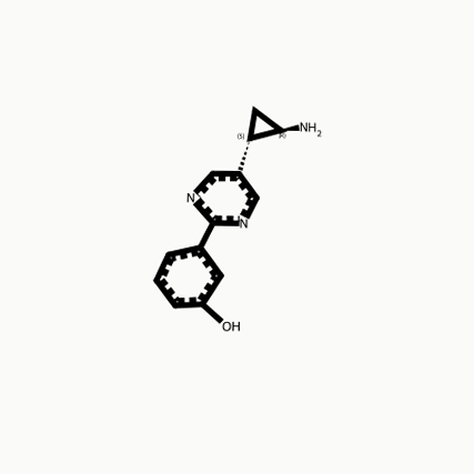 N[C@@H]1C[C@H]1c1cnc(-c2cccc(O)c2)nc1